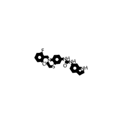 O=C(Nc1ccc2c(c1)SCCN2Cc1c(F)cccc1Cl)Nc1ccc2cc[nH]c2c1